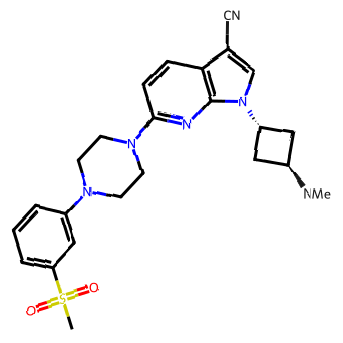 CN[C@H]1C[C@H](n2cc(C#N)c3ccc(N4CCN(c5cccc(S(C)(=O)=O)c5)CC4)nc32)C1